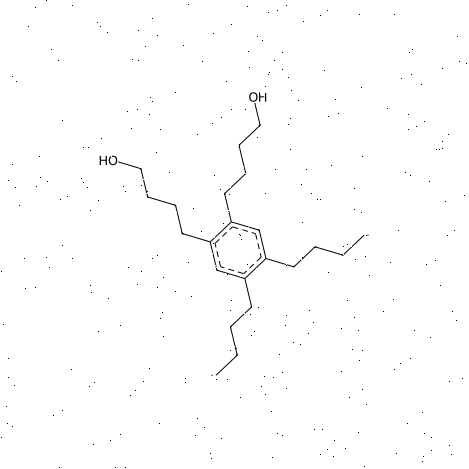 [CH2]CCCc1cc(CCCCO)c(CCCCO)cc1CCC[CH2]